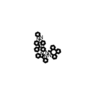 c1ccc([Si](c2ccccc2)(c2cccc(-n3c4ccccc4c4c5ccccc5n(-c5ncc6c(n5)-c5ccccc5-c5ccccc5-c5ccccc5-6)c43)c2)c2cccc3c2oc2nc4ccccc4n23)cc1